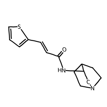 O=C(C=Cc1cccs1)NC1CN2CCC1CC2